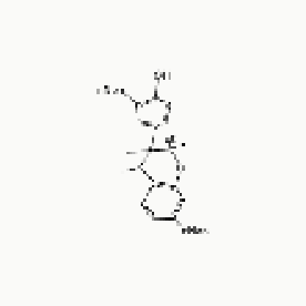 CCCCCCCCCc1ccc2c(c1)OC(C)(CC)C(C)(c1ccc(O)c(CCCCCCCCC)c1)C2C